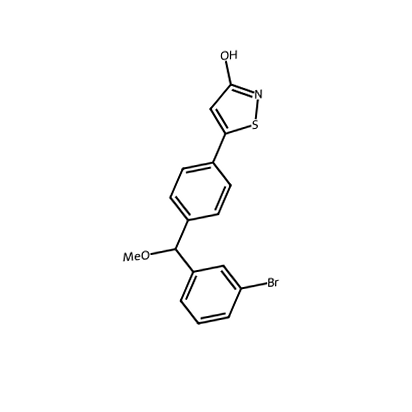 COC(c1ccc(-c2cc(O)ns2)cc1)c1cccc(Br)c1